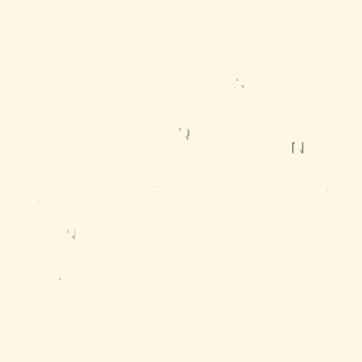 Nc1nc2cc([N+](=O)[O-])ccc2c2cccnc12